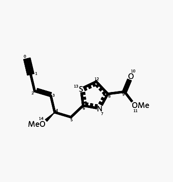 C#C/C=C/[C@@H](Cc1nc(C(=O)OC)cs1)OC